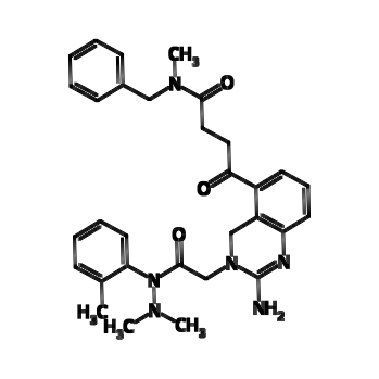 Cc1ccccc1N(C(=O)CN1Cc2c(cccc2C(=O)CCC(=O)N(C)Cc2ccccc2)N=C1N)N(C)C